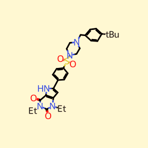 CCn1c(=O)c2[nH]c(-c3ccc(S(=O)(=O)N4CCN(Cc5ccc(C(C)(C)C)cc5)CC4)cc3)cc2n(CC)c1=O